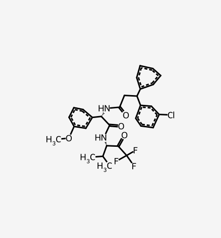 COc1cccc([C@H](NC(=O)CC(c2ccccc2)c2cccc(Cl)c2)C(=O)N[C@H](C(=O)C(F)(F)F)C(C)C)c1